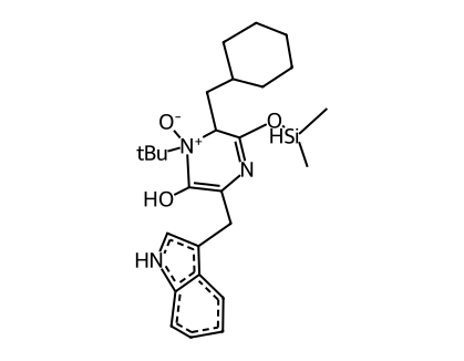 C[SiH](C)OC1=NC(Cc2c[nH]c3ccccc23)=C(O)[N+]([O-])(C(C)(C)C)C1CC1CCCCC1